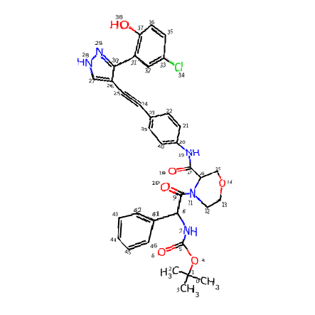 CC(C)(C)OC(=O)NC(C(=O)N1CCOCC1C(=O)Nc1ccc(C#Cc2c[nH]nc2-c2cc(Cl)ccc2O)cc1)c1ccccc1